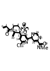 C=CC(=O)N1CCN(S(C)(=O)=O)C(c2cc(Cl)nc(-c3cc(C(=O)NC)ncn3)c2)C1=C